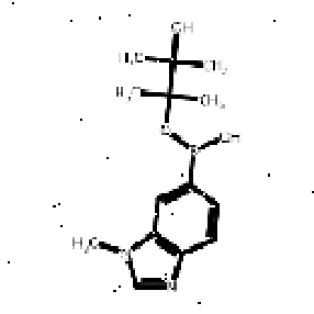 Cn1cnc2ccc(B(O)OC(C)(C)C(C)(C)O)cc21